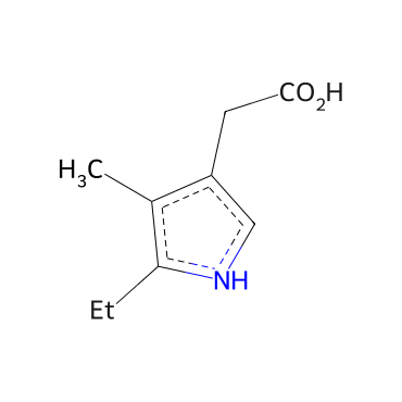 CCc1[nH]cc(CC(=O)O)c1C